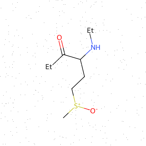 CCNC(CC[S+](C)[O-])C(=O)CC